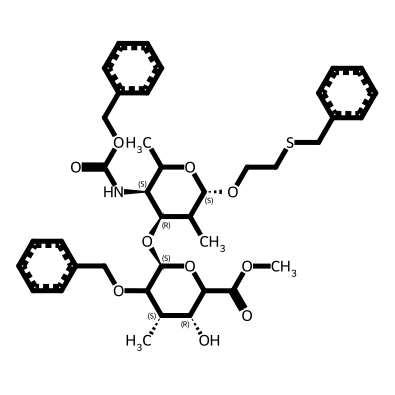 COC(=O)C1O[C@H](O[C@@H]2C(C)[C@@H](OCCSCc3ccccc3)OC(C)[C@@H]2NC(=O)OCc2ccccc2)C(OCc2ccccc2)[C@@H](C)[C@H]1O